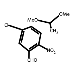 COC(C)OC.O=Cc1cc(Cl)ccc1[N+](=O)[O-]